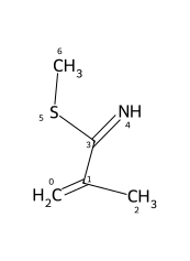 C=C(C)C(=N)SC